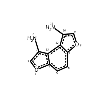 Nc1coc2ccc3occ(N)c3c12